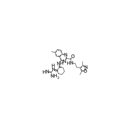 Cc1ccc2nc(C(=O)NCCc3c(C)noc3C)nc(N[C@H]3CCCC[C@H]3NC(=N)N)c2c1